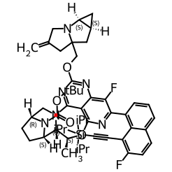 C=C1CN2[C@H]3C[C@H]3CC2(COc2nc3c4c(nc(-c5cccc6ccc(F)c(C#C[Si](C(C)C)(C(C)C)C(C)C)c56)c(F)c4n2)O[C@@H](C)[C@@H]2[C@@H]4CC[C@H](CN32)N4C(=O)OC(C)(C)C)C1